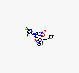 O=C1c2c(nc(CCc3ccc(F)cc3)c(-c3n[nH]c(=O)o3)c2-c2cnc3c(ccn3Cc3ncc(Cl)cc3F)c2)[C@@H]2CCCN12